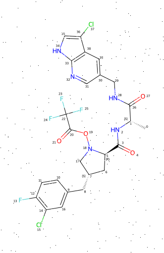 C[C@H](NC(=O)[C@H]1C[C@H](Cc2ccc(F)c(Cl)c2)CN1OC(=O)C(F)(F)F)C(=O)NCc1cnc2[nH]cc(Cl)c2c1